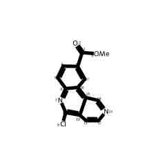 COC(=O)c1ccc2nc(Cl)c3ccncc3c2c1